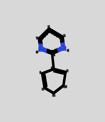 C1=CC(c2ncccn2)=CCC1